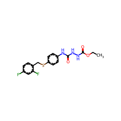 CCOC(=O)NNC(=O)Nc1ccc(SCc2ccc(F)cc2F)cc1